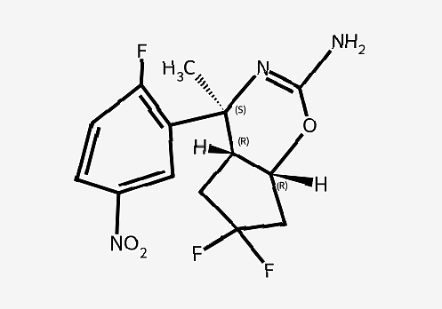 C[C@]1(c2cc([N+](=O)[O-])ccc2F)N=C(N)O[C@@H]2CC(F)(F)C[C@@H]21